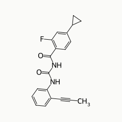 CC#Cc1ccccc1NC(=O)NC(=O)c1ccc(C2CC2)cc1F